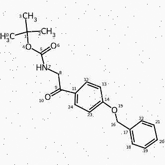 CC(C)(C)OC(=O)NCC(=O)c1ccc(OCc2ccccc2)cc1